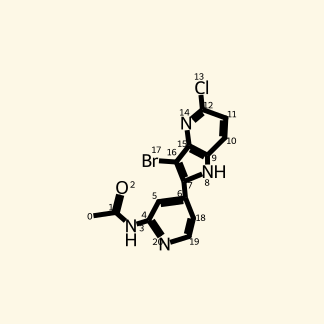 CC(=O)Nc1cc(-c2[nH]c3ccc(Cl)nc3c2Br)ccn1